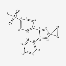 CS(=O)(=O)c1ccc(C2=CC3(C=C2c2ccncc2)CC3)cc1